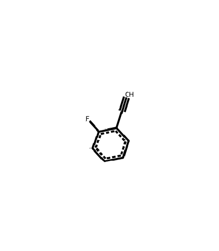 C#Cc1ccc[c]c1F